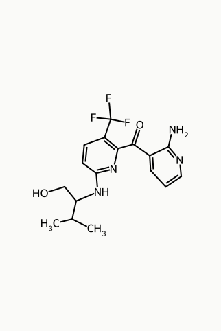 CC(C)C(CO)Nc1ccc(C(F)(F)F)c(C(=O)c2cccnc2N)n1